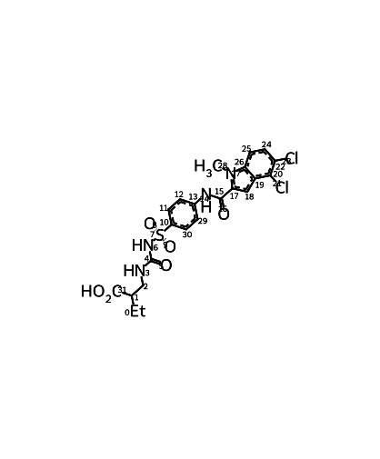 CCC(CNC(=O)NS(=O)(=O)c1ccc(NC(=O)c2cc3c(Cl)c(Cl)ccc3n2C)cc1)C(=O)O